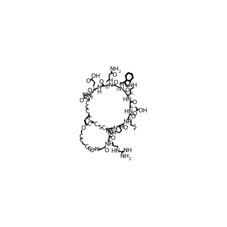 CC[C@H](C)[C@@H]1NC(=O)[C@H](CC(=O)O)NC(=O)[C@H](CCSC)NC(=O)[C@@H]2CCCN2C(=O)[C@@H]2CSCc3cc(cc(c3)OCCCCCCO/N=C/C(=O)N[C@@H](CCCNC(=N)N)C(=O)N2)CSC[C@@H](C(N)=O)NC(=O)[C@H](CCC(=O)O)NC(=O)[C@H](CCCC(N)=O)NC(=O)[C@H](Cc2c[nH]c3ccccc23)NC1=O